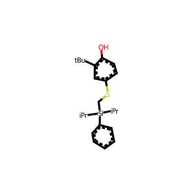 CC(C)[Si](CSc1ccc(O)c(C(C)(C)C)c1)(c1ccccc1)C(C)C